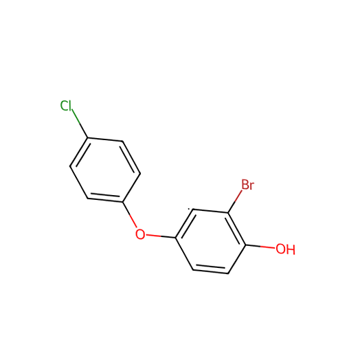 Oc1ccc(Oc2ccc(Cl)cc2)[c]c1Br